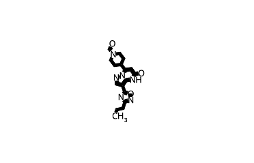 CCCc1noc(-c2cnn3c(C4CCN(C=O)CC4)cc(=O)[nH]c23)n1